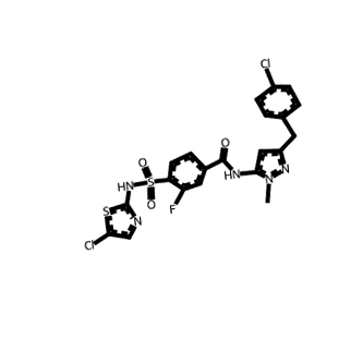 Cn1nc(Cc2ccc(Cl)cc2)cc1NC(=O)c1ccc(S(=O)(=O)Nc2ncc(Cl)s2)c(F)c1